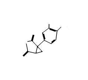 Cc1ccc(C23CC2C(=O)NC3=O)cc1C